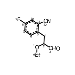 CCOC(C=O)Cc1c[c]c(F)cc1C#N